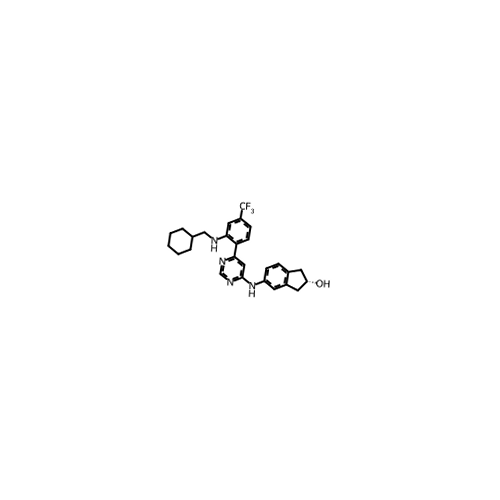 O[C@H]1Cc2ccc(Nc3cc(-c4ccc(C(F)(F)F)cc4NCC4CCCCC4)ncn3)cc2C1